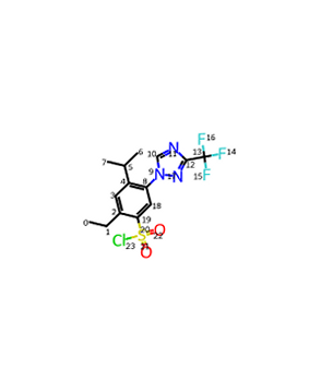 CCc1cc(C(C)C)c(-n2cnc(C(F)(F)F)n2)cc1S(=O)(=O)Cl